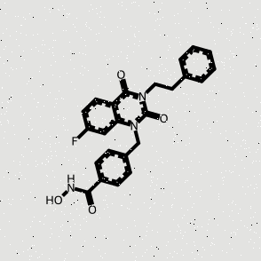 O=C(NO)c1ccc(Cn2c(=O)n(CCc3ccccc3)c(=O)c3ccc(F)cc32)cc1